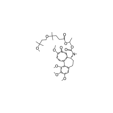 COc1cc2c(c(OC)c1OC)-c1ccc(OC)c(=O)cc1[C@@H](N(C)C(=O)OC(C)OC(=O)CCC(C)(C)OCCC(C)(C)OC)CC2